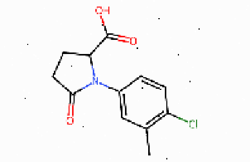 Cc1cc(N2C(=O)CCC2C(=O)O)ccc1Cl